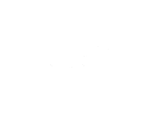 CN1CCCC(Oc2cc(Cl)c(C(=O)N3COc4c(cccc4-c4cc(N5CCOCC5)c(C(=O)O)cc4F)C3)c(Cl)c2)C1